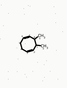 CC1C=CCCC=CC1C